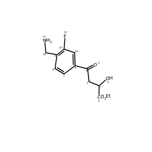 CCOC(=O)C(O)CC(=O)c1ccc(CN)c(F)c1